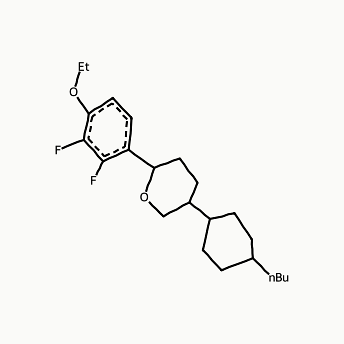 CCCCC1CCC(C2CCC(c3ccc(OCC)c(F)c3F)OC2)CC1